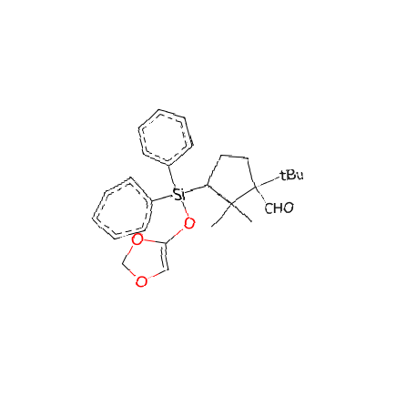 CC(C)(C)C1(C=O)CCC([Si](OC2=COCO2)(c2ccccc2)c2ccccc2)C1(C)C